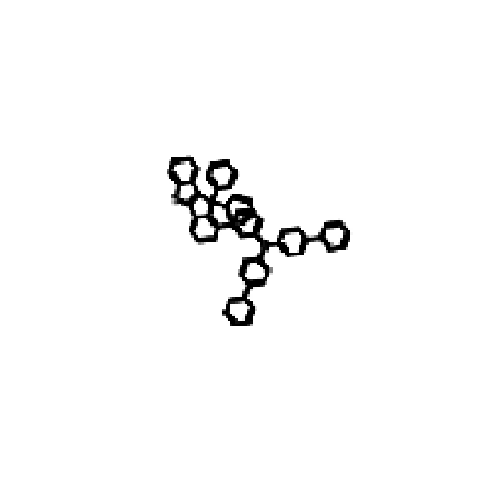 c1ccc(-c2ccc(N(c3ccc(-c4ccccc4)cc3)c3cccc(-c4cccc5c4C(c4ccccc4)(c4ccccc4)c4c-5sc5ccccc45)c3)cc2)cc1